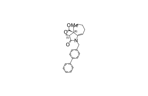 COC(=O)[C@@]12CCCCC=C1N(Cc1ccc(-c3ccccc3)cc1)C(=O)[C@H]2C